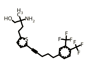 CC(N)(CO)CCc1ccc(C#CCCCc2ccc(C(F)(F)F)c(C(F)(F)F)c2)s1